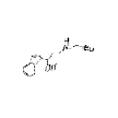 CCC(C)CCNCCC(O)C1C=Cc2ccccc21